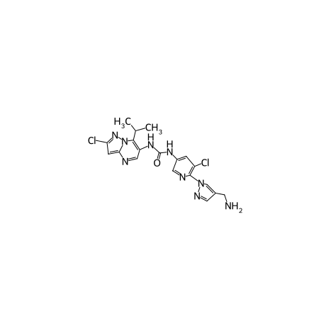 CC(C)c1c(NC(=O)Nc2cnc(-n3cc(CN)cn3)c(Cl)c2)cnc2cc(Cl)nn12